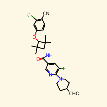 CC1(C)[C@H](NC(=O)c2cnc(N3CCC(C=O)CC3)c(F)c2)C(C)(C)[C@H]1Oc1ccc(C#N)c(Cl)c1